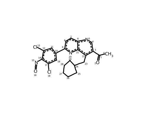 CC(=O)c1cnc2ccc(-c3cc(Cl)c(N=O)c(Cl)c3)nc2c1CC1CCCCC1